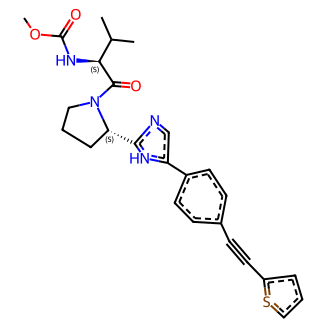 COC(=O)N[C@H](C(=O)N1CCC[C@H]1c1ncc(-c2ccc(C#Cc3cccs3)cc2)[nH]1)C(C)C